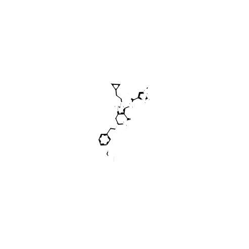 Cn1cc(C(=O)Nc2c3c(nn2CCC2CC2)C[C@H](CCc2cccc(OCC(F)(F)F)c2)NC3=O)nn1